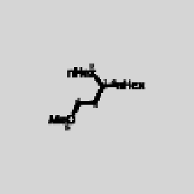 CCCCCCC(CCCCCC)CCOC